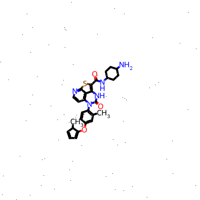 Cc1cc(OC2=CC=CC2C)ccc1N1C(=O)Nc2c(C(=O)NC3CCC(N)CC3)sc3nccc1c23